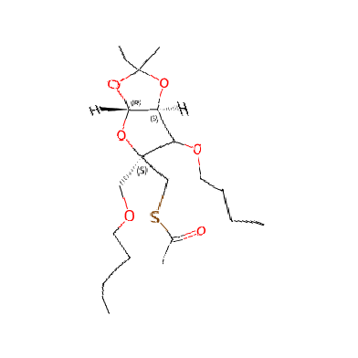 CCCCOC[C@]1(CSC(C)=O)O[C@@H]2OC(C)(C)O[C@H]2C1OCCCC